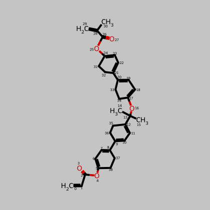 C=CC(=O)OC1=CC=C(C2=CC=C(C(C)(C)OC3=CC=C(C4=CC=C(OC(=O)C(=C)C)CC4)CC3)CC2)CC1